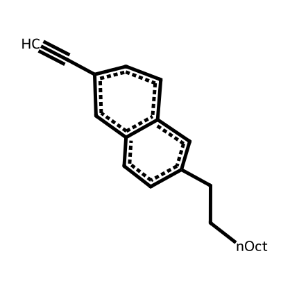 C#Cc1ccc2cc(CCCCCCCCCC)ccc2c1